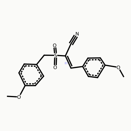 COc1ccc(/C=C(\C#N)S(=O)(=O)Cc2ccc(OC)cc2)cc1